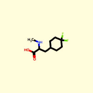 CNC(CC1CCC(F)(F)CC1)C(=O)O